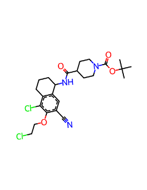 CC(C)(C)OC(=O)N1CCC(C(=O)NC2CCCc3c2cc(C#N)c(OCCCl)c3Cl)CC1